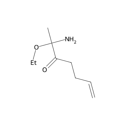 C=CCCC(=O)C(C)(N)OCC